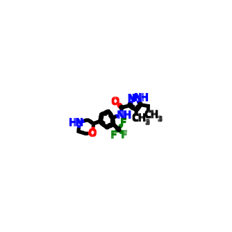 CCc1[nH]nc(C(=O)Nc2ccc(C3CNCCO3)cc2C(F)(F)F)c1C